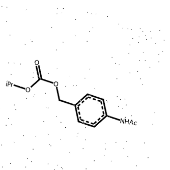 CC(=O)Nc1ccc(COC(=O)OC(C)C)cc1